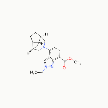 CCn1cc2c(N3C[C@H]4C[C@@H]5C4CC[C@H]5C3)ccc(C(=O)OC)c2n1